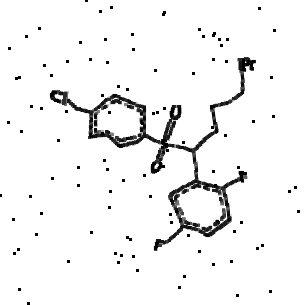 CC(C)CCCC(c1cc(F)ccc1F)S(=O)(=O)c1ccc(Cl)cc1